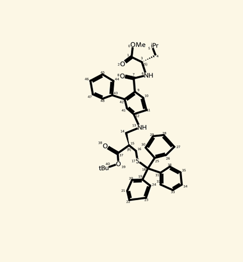 COC(=O)[C@H](CC(C)C)NC(=O)c1ccc(NC[C@@H](CSC(c2ccccc2)(c2ccccc2)c2ccccc2)C(=O)OC(C)(C)C)cc1-c1ccccc1